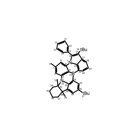 Cc1cc2c3c(c1)-n1c(-c4ccccc4)c(C(C)(C)C)c4cccc(c41)B3c1cc(C(C)(C)C)cc3c1N2C1(C)CCCCC31C